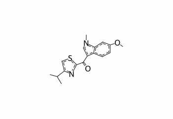 COc1ccc2c(C(=O)c3nc(C(C)C)cs3)cn(C)c2c1